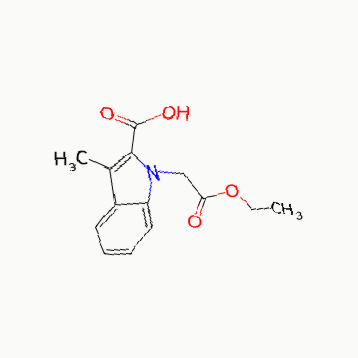 CCOC(=O)Cn1c(C(=O)O)c(C)c2ccccc21